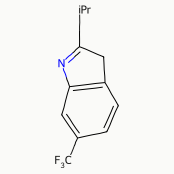 CC(C)C1=Nc2cc(C(F)(F)F)ccc2C1